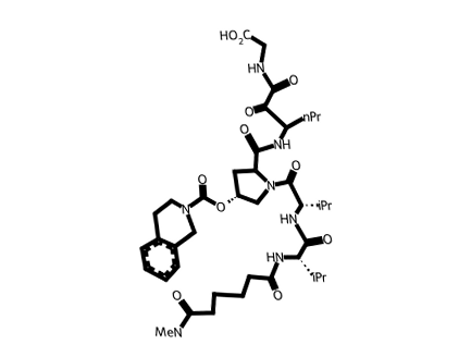 CCCC(NC(=O)C1C[C@@H](OC(=O)N2CCc3ccccc3C2)CN1C(=O)[C@@H](NC(=O)[C@@H](NC(=O)CCCCC(=O)NC)C(C)C)C(C)C)C(=O)C(=O)NCC(=O)O